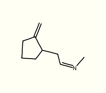 C=C1CCCC1C/C=N\C